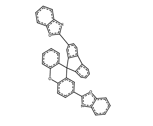 c1ccc2c(c1)Oc1ccc(-c3nc4ccccc4o3)cc1C21c2ccccc2-c2ccc(-c3nc4ccccc4o3)cc21